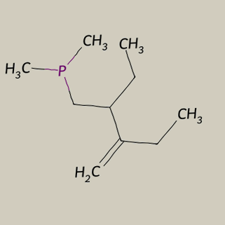 C=C(CC)C(CC)CP(C)C